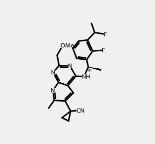 COCc1nc(N[C@H](C)c2cccc(C(C)F)c2F)c2cc(C3(C#N)CC3)c(C)nc2n1